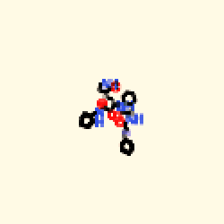 O=C(/C=C/c1ccccc1)N[C@@H](CC1CCCCC1)C(=O)N[C@@H](CC[C@@H]1CCNC1=O)C(=O)C(=O)NCc1ccccc1